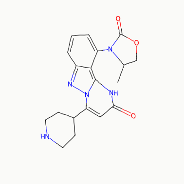 CC1COC(=O)N1c1cccc2nn3c(C4CCNCC4)cc(=O)[nH]c3c12